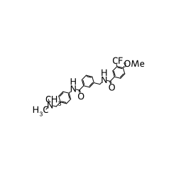 COc1ccc(C(=O)NCc2cccc(C(=O)Nc3ccc(CN(C)C)cc3)c2)cc1C(F)(F)F